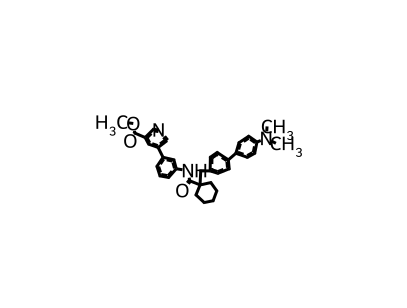 COC(=O)c1cncc(-c2cccc(NC(=O)C3(Cc4ccc(-c5ccc(N(C)C)cc5)cc4)CCCCC3)c2)c1